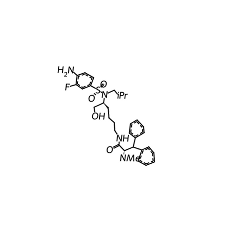 CN[C@H](C(=O)NCCCC[C@@H](CO)N(CC(C)C)S(=O)(=O)c1ccc(N)c(F)c1)C(c1ccccc1)c1ccccc1